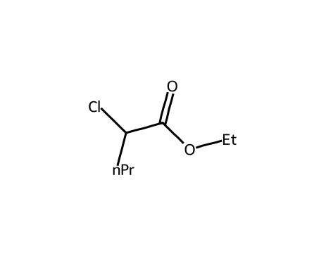 CCCC(Cl)C(=O)OCC